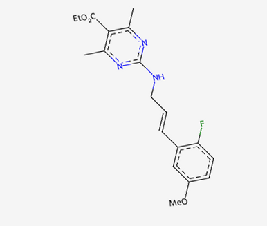 CCOC(=O)c1c(C)nc(NC/C=C/c2cc(OC)ccc2F)nc1C